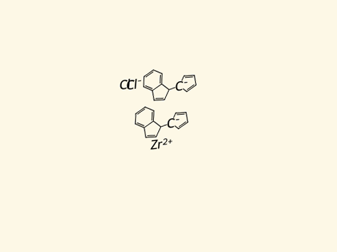 C1=CC([c-]2cccc2)c2ccccc21.C1=CC([c-]2cccc2)c2ccccc21.[Cl-].[Cl-].[Zr+2]